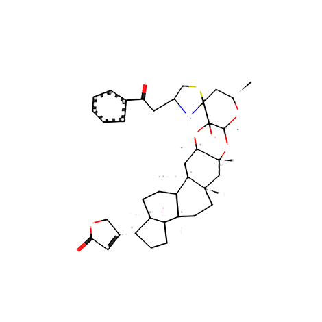 CO[C@]12C[C@H]3OC4(O)[C@@H](O[C@H](C)CC45NC(CC(=O)c4ccccc4)CS5)O[C@@H]3C[C@@H]1CC[C@@H]1C2CC[C@]2(C)[C@@H](C3=CC(=O)OC3)CC[C@]12O